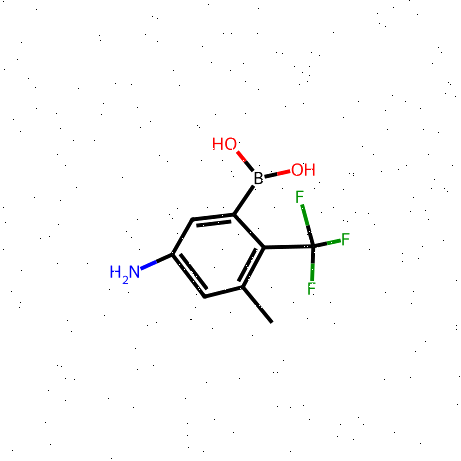 Cc1cc(N)cc(B(O)O)c1C(F)(F)F